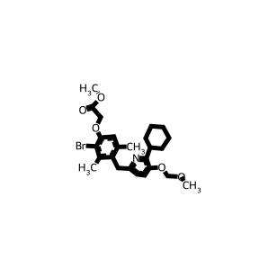 COCOc1ccc(Cc2c(C)cc(OCC(=O)OC)c(Br)c2C)nc1C1CCCCC1